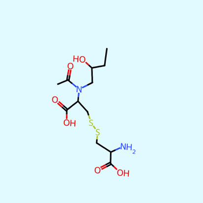 CCC(O)CN(C(C)=O)C(CSSCC(N)C(=O)O)C(=O)O